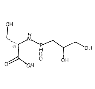 O=C(O)[C@H](CO)N[PH](=O)CC(O)CO